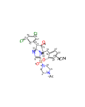 CC(=O)N1CCN(S(=O)(=O)c2cnc3n2[C@](C)(Cc2ccc(C#N)cc2)C(=O)C3c2cc(Cl)cc(Cl)c2)CC1